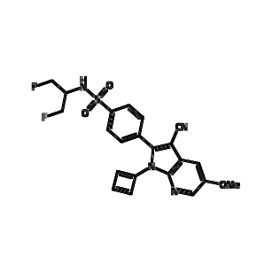 COc1cnc2c(c1)c(C#N)c(-c1ccc(S(=O)(=O)NC(CF)CF)cc1)n2C1=CC=C1